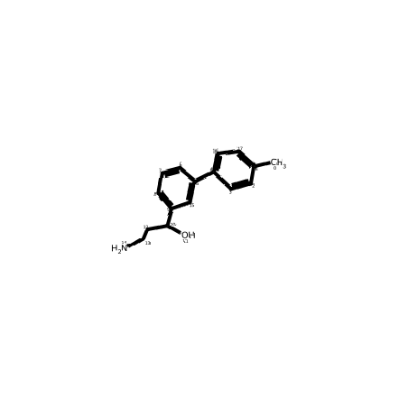 Cc1ccc(-c2cccc(C(O)CCN)c2)cc1